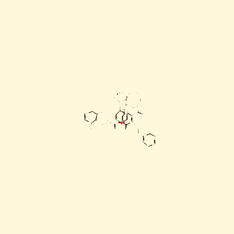 CC1=NN(c2ccccc2)C2(CC[C@H](C)N3C[C@H]2n2cc(C(=O)NCc4c(F)cc(F)cc4F)c(=O)c(OCc4ccccc4)c2C3=O)C1